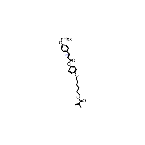 C=C(C)C(=O)OCCCCCCOc1ccc(OC(=O)/C=C/c2ccc(OCCCCCC)cc2)cc1